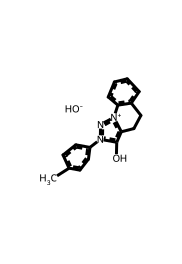 Cc1ccc(-n2n[n+]3c(c2O)CCc2ccccc2-3)cc1.[OH-]